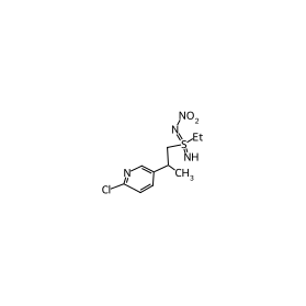 CCS(=N)(CC(C)c1ccc(Cl)nc1)=N[N+](=O)[O-]